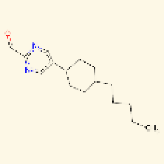 CCCCCC1CCC(c2cnc(C=O)nc2)CC1